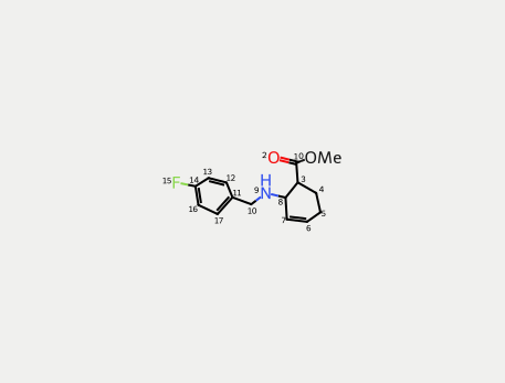 COC(=O)C1CCC=CC1NCc1ccc(F)cc1